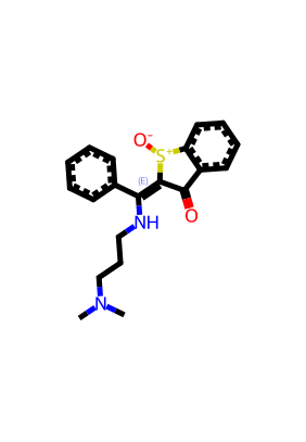 CN(C)CCCN/C(=C1\C(=O)c2ccccc2[S+]1[O-])c1ccccc1